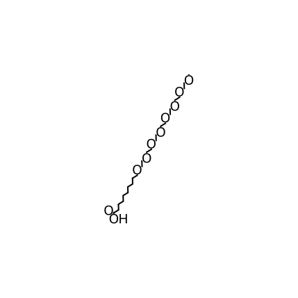 COCCOCCOCCOCCOCCOCCOCCOCCCCCCCCCC(=O)O